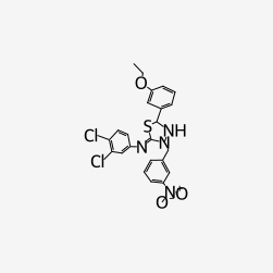 CCOc1cccc(C2NN(Cc3cccc([N+](=O)[O-])c3)C(=Nc3ccc(Cl)c(Cl)c3)S2)c1